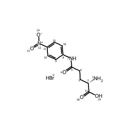 Br.N[C@@H](CCC(=O)Nc1ccc([N+](=O)[O-])cc1)C(=O)O